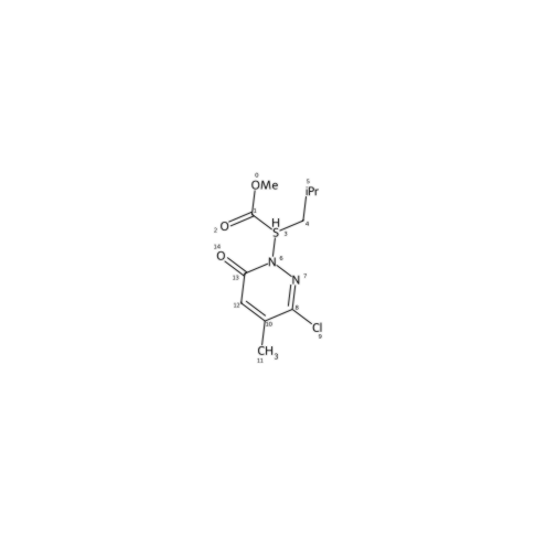 COC(=O)[SH](CC(C)C)n1nc(Cl)c(C)cc1=O